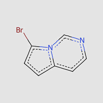 Brc1ccc2ccncn12